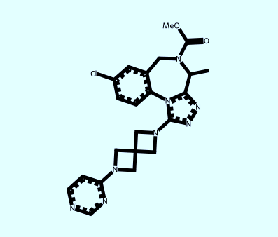 COC(=O)N1Cc2cc(Cl)ccc2-n2c(nnc2N2CC3(CN(c4ccncn4)C3)C2)C1C